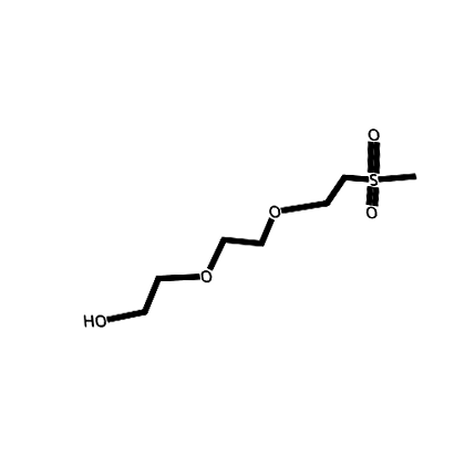 CS(=O)(=O)CCOCCOCCO